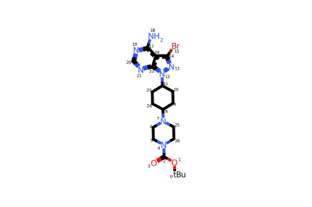 CC(C)(C)OC(=O)N1CCN(C2CCC(n3nc(Br)c4c(N)ncnc43)CC2)CC1